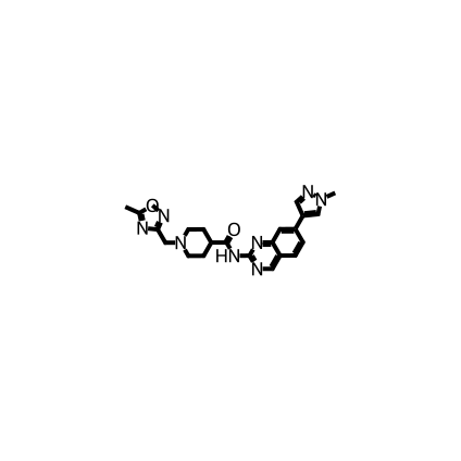 Cc1nc(CN2CCC(C(=O)Nc3ncc4ccc(-c5cnn(C)c5)cc4n3)CC2)no1